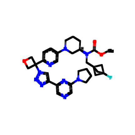 CC(C)(C)OC(=O)N(CC12CC(F)(C1)C2)[C@@H]1CCCN(c2ccc(C3(n4cc(-c5cncc(N6CCCC6)n5)nn4)COC3)nc2)C1